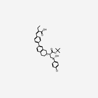 CCC(=Cc1ccc(-c2ccc3c(c2)C[C@@H](N(C[C@H](O)c2ccc(Cl)cc2)C(=O)OC(C)(C)C)CC3)cc1)C(=O)O